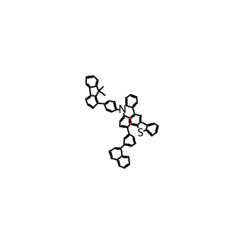 CC1(C)c2ccccc2-c2cccc(-c3ccc(N(c4ccc(-c5cccc(-c6cccc7ccccc67)c5)cc4)c4ccccc4-c4ccc5sc6ccccc6c5c4)cc3)c21